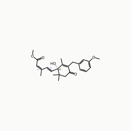 COC(=O)/C=C(C)\C=C\[C@@]1(O)C(C)=C(Cc2cccc(OC)c2)C(=O)CC1(C)C